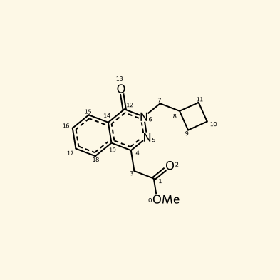 COC(=O)Cc1nn(CC2CCC2)c(=O)c2ccccc12